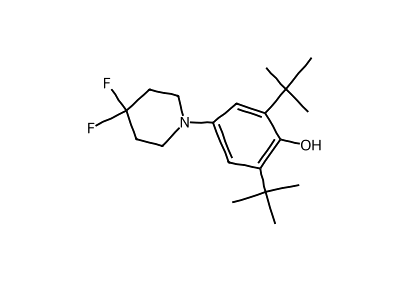 CC(C)(C)c1cc(N2CCC(F)(F)CC2)cc(C(C)(C)C)c1O